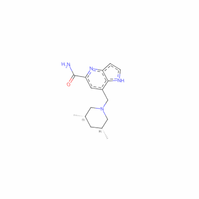 C[C@@H]1C[C@H](C)CN(Cc2cc(C(N)=O)nc3cc[nH]c23)C1